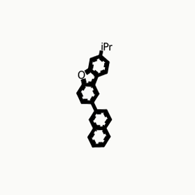 CC(C)c1ccc2c(c1)oc1ccc(-c3ccc4ccccc4c3)cc12